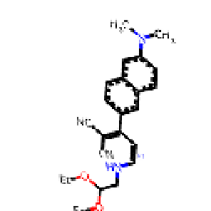 CCOC(CN/C=C\C(=C(C#N)C#N)c1ccc2cc(N(C)C)ccc2c1)OCC